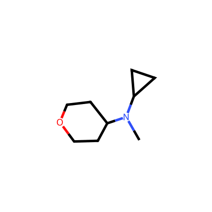 CN(C1CCOCC1)C1CC1